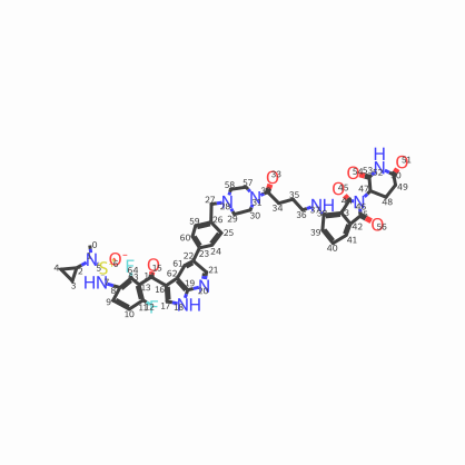 CN(C1CC1)[S+]([O-])Nc1ccc(F)c(C(=O)c2c[nH]c3ncc(-c4ccc(CN5CCN(C(=O)CCCNc6cccc7c6C(=O)N(C6CCC(=O)NC6=O)C7=O)CC5)cc4)cc23)c1F